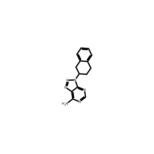 Nc1ncnc2c1nnn2C1CCc2ccccc2C1